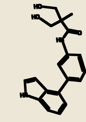 CC(CO)(CO)C(=O)Nc1cccc(-c2cccc3[nH]ccc23)c1